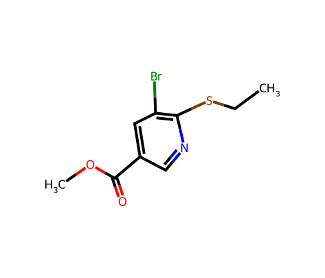 CCSc1ncc(C(=O)OC)cc1Br